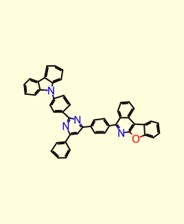 c1ccc(-c2cc(-c3ccc(-c4nc5oc6ccccc6c5c5ccccc45)cc3)nc(-c3ccc(-n4c5ccccc5c5ccccc54)cc3)n2)cc1